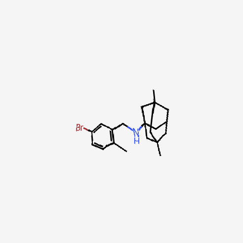 Cc1ccc(Br)cc1CNC12CC3CC(C)(CC(C)(C3)C1)C2